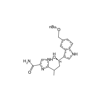 CCCCOCc1ccc2[nH]cc([C@H](O)CC(C)c3nc(C(N)=O)c[nH]3)c2c1